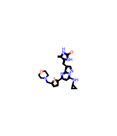 C=c1[nH]c(=O)[nH]/c1=C\c1cnn2c(NC3CC3)cc(-c3ccc(CN4CCOCC4)s3)nc12